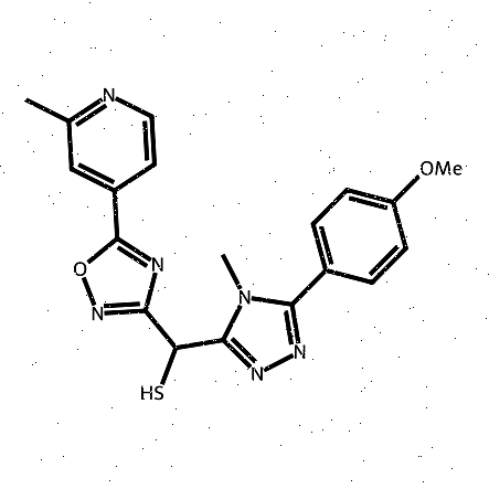 COc1ccc(-c2nnc(C(S)c3noc(-c4ccnc(C)c4)n3)n2C)cc1